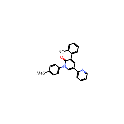 CSc1ccc(-n2cc(-c3ccccn3)cc(-c3ccccc3C#N)c2=O)cc1